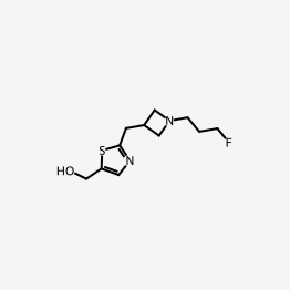 OCc1cnc(CC2CN(CCCF)C2)s1